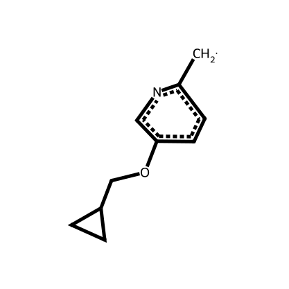 [CH2]c1ccc(OCC2CC2)cn1